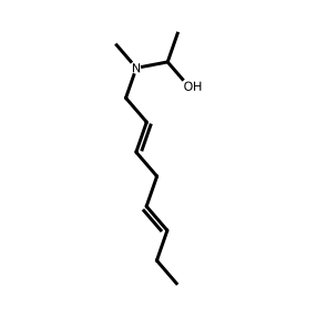 CCC=CCC=CCN(C)C(C)O